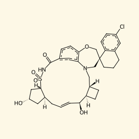 O=C1NS(=O)(=O)[C@H]2C[C@@H](O)C[C@@H]2C/C=C/[C@H](O)[C@@H]2CC[C@H]2CN2C[C@@]3(CCCc4cc(Cl)ccc43)COc3ccc1cc32